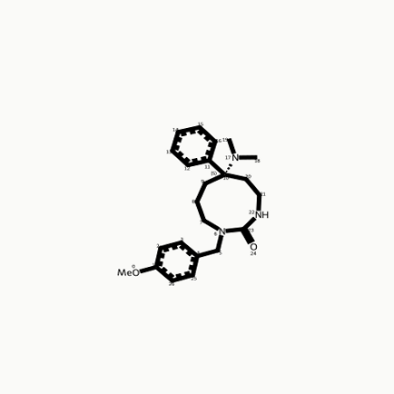 COc1ccc(CN2CCC[C@](c3ccccc3)(N(C)C)CCNC2=O)cc1